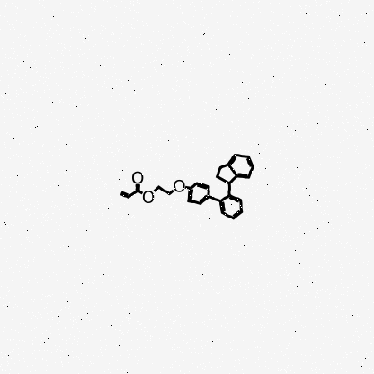 C=CC(=O)OCCOc1ccc(-c2ccccc2C2CCc3ccccc32)cc1